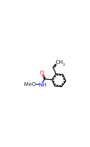 C=Cc1ccccc1C(=O)NOC